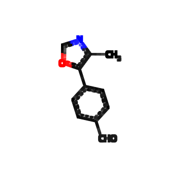 Cc1ncoc1-c1ccc(C=O)cc1